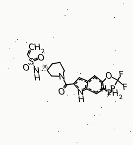 C=CS(=O)(=O)N[C@@H]1CCCN(C(=O)c2cc3cc(OC(F)(F)P)c(P)cc3[nH]2)C1